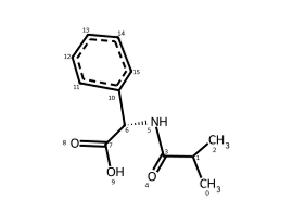 CC(C)C(=O)N[C@H](C(=O)O)c1ccccc1